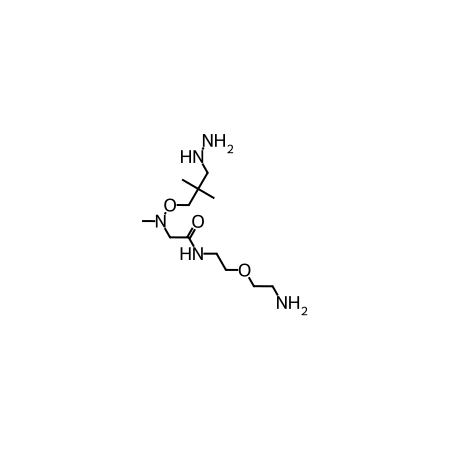 CN(CC(=O)NCCOCCN)OCC(C)(C)CNN